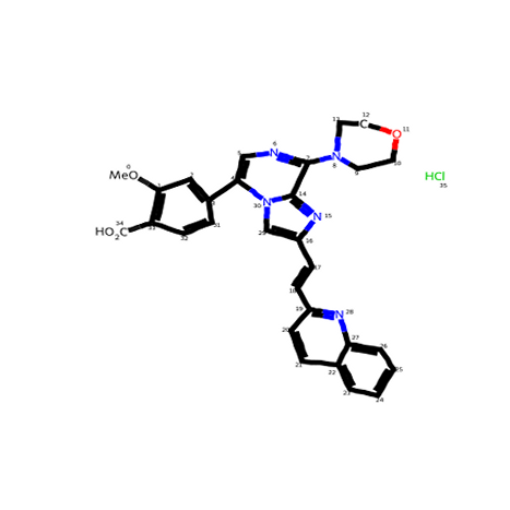 COc1cc(-c2cnc(N3CCOCC3)c3nc(C=Cc4ccc5ccccc5n4)cn23)ccc1C(=O)O.Cl